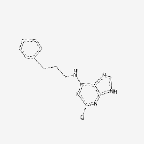 Clc1nc(NCCCc2ccccc2)c2nc[nH]c2n1